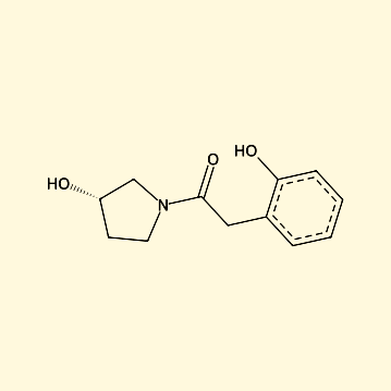 O=C(Cc1ccccc1O)N1CC[C@H](O)C1